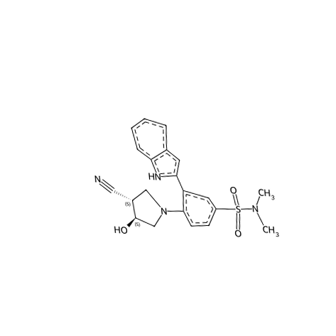 CN(C)S(=O)(=O)c1ccc(N2C[C@@H](O)[C@H](C#N)C2)c(-c2cc3ccccc3[nH]2)c1